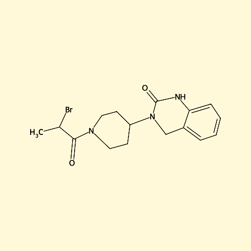 CC(Br)C(=O)N1CCC(N2Cc3ccccc3NC2=O)CC1